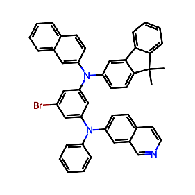 CC1(C)c2ccccc2-c2cc(N(c3cc(Br)cc(N(c4ccccc4)c4ccc5ccncc5c4)c3)c3ccc4ccccc4c3)ccc21